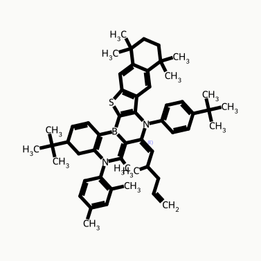 C=CCC(C)/C=C1\C2=C(C)N(c3ccc(C)cc3C)C3=C(C=CC(C(C)(C)C)C3)B2c2sc3cc4c(cc3c2N1c1ccc(C(C)(C)C)cc1)C(C)(C)CCC4(C)C